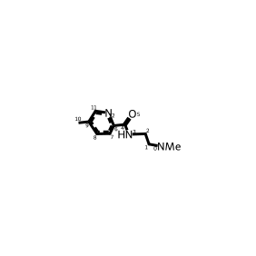 CNCCNC(=O)c1ccc(C)cn1